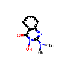 CC(C)(C)N(c1nc2ccccc2c(=O)n1O)C(C)(C)C